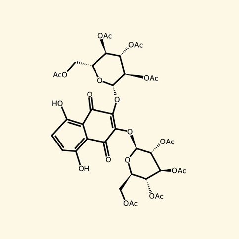 CC(=O)OC[C@H]1O[C@@H](OC2=C(O[C@@H]3O[C@H](COC(C)=O)[C@@H](OC(C)=O)[C@H](OC(C)=O)[C@H]3OC(C)=O)C(=O)c3c(O)ccc(O)c3C2=O)[C@H](OC(C)=O)[C@@H](OC(C)=O)[C@@H]1OC(C)=O